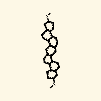 CSc1ccc2c(ccc3c4cc5ccc6c7ccc(SC)cc7ccc6c5cc4ccc23)c1